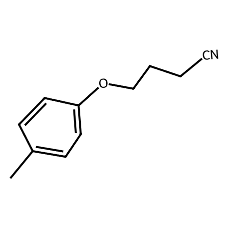 Cc1ccc(OCCCC#N)cc1